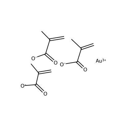 C=C(C)C(=O)[O-].C=C(C)C(=O)[O-].C=C(C)C(=O)[O-].[Au+3]